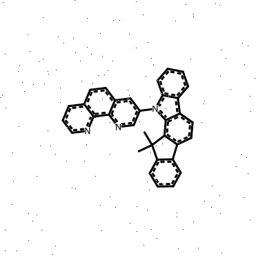 CC1(C)c2ccccc2-c2ccc3c4ccccc4n(-c4cnc5c(ccc6cccnc65)c4)c3c21